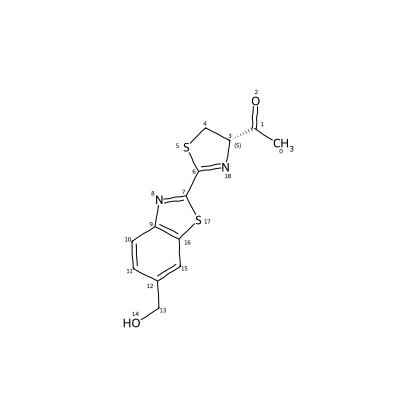 CC(=O)[C@H]1CSC(c2nc3ccc(CO)cc3s2)=N1